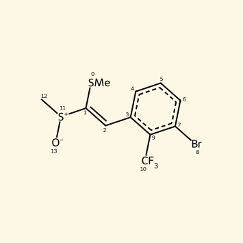 CS/C(=C\c1cccc(Br)c1C(F)(F)F)[S+](C)[O-]